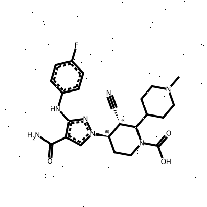 CN1CCC(C2[C@@H](C#N)[C@H](n3cc(C(N)=O)c(Nc4ccc(F)cc4)n3)CCN2C(=O)O)CC1